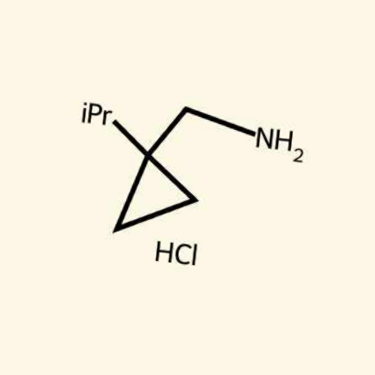 CC(C)C1(CN)CC1.Cl